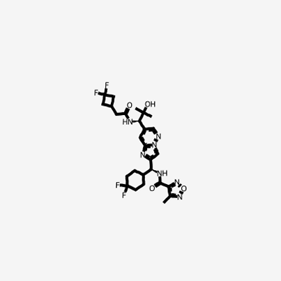 Cc1nonc1C(=O)N[C@H](c1cn2ncc([C@@H](NC(=O)CC3CC(F)(F)C3)C(C)(C)O)cc2n1)C1CCC(F)(F)CC1